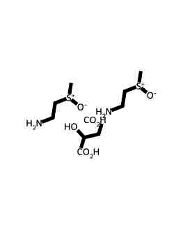 C[S+]([O-])CCN.C[S+]([O-])CCN.O=C(O)CC(O)C(=O)O